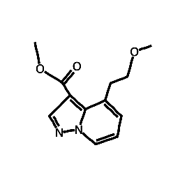 COCCc1cccn2ncc(C(=O)OC)c12